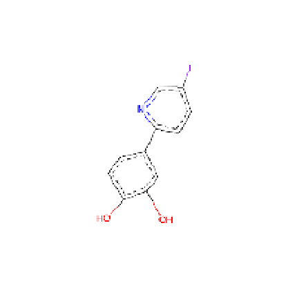 Oc1ccc(-c2ccc(I)cn2)cc1O